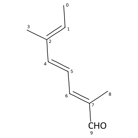 CC=C(C)C=CC=C(C)C=O